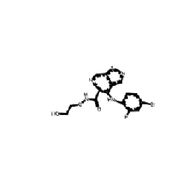 O=C(NOCCO)c1ncc2sncc2c1Nc1ccc(Br)cc1F